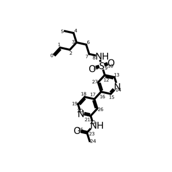 C=CCC(CC)CCNS(=O)(=O)c1cncc(-c2ccnc(NC(C)=O)c2)c1